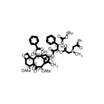 CO[C@H]1C(=O)[C@@]2(C)C([C@H](OC(=O)c3ccccc3)[C@]3(O)C[C@H](OC(=O)[C@H](OC(=O)CN(C)CC(=O)C(C)C)[C@@H](NC(=O)OC(C)(C)C)c4ccccc4)C(C)=C1C3(C)C)[C@]1(OC(C)=O)COC1C[C@@H]2OC